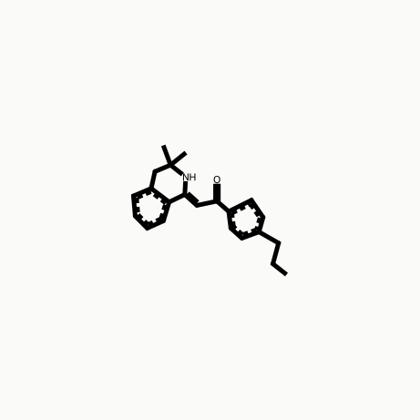 CCCc1ccc(C(=O)/C=C2\NC(C)(C)Cc3ccccc32)cc1